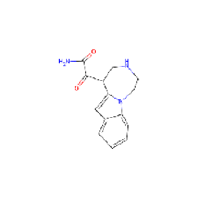 NC(=O)C(=O)C1CNCCn2c1cc1ccccc12